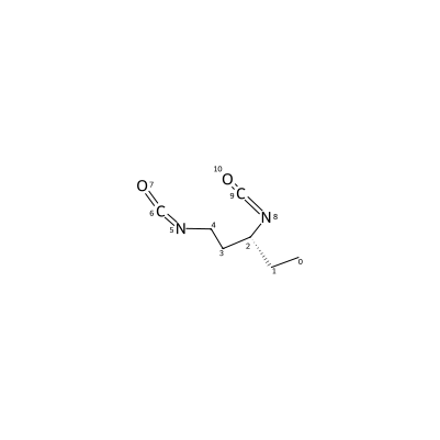 CC[C@H](CCN=C=O)N=C=O